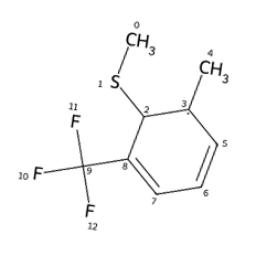 CSC1[C](C)C=CC=C1C(F)(F)F